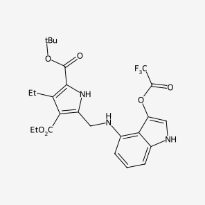 CCOC(=O)c1c(CNc2cccc3[nH]cc(OC(=O)C(F)(F)F)c23)[nH]c(C(=O)OC(C)(C)C)c1CC